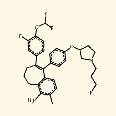 Cc1ccc2c(c1P)CCCC(c1ccc(OC(F)F)c(F)c1)=C2c1ccc(OC2CCN(CCCF)C2)cc1